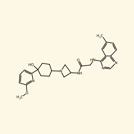 COc1cccc(C2(O)CCC(N3CC(NC(=O)CNc4ncnc5ccc(C)cc45)C3)CC2)n1